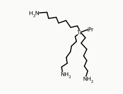 C[CH](C)[Ti]([CH2]CCCCCCN)([CH2]CCCCCCN)[CH2]CCCCCCN